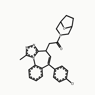 Cc1nnc2n1-c1ccccc1C(c1ccc(Cl)cc1)=CC2CC(=O)N1CC2CCC(C1)O2